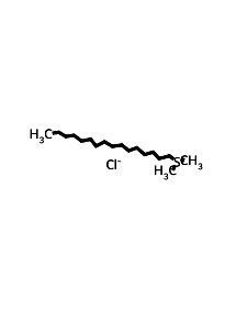 CCCCCCCCCCCCCCCC[S+](C)C.[Cl-]